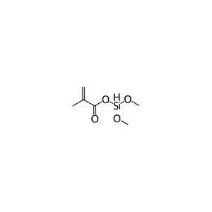 C=C(C)C(=O)O[SiH](OC)OC